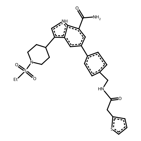 CCS(=O)(=O)N1CCC(c2c[nH]c3c(C(N)=O)cc(-c4ccc(CNC(=O)Cc5cccs5)cc4)cc23)CC1